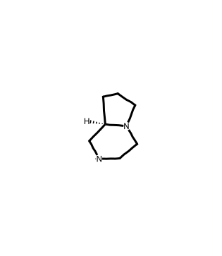 C1C[C@@H]2C[N]CCN2C1